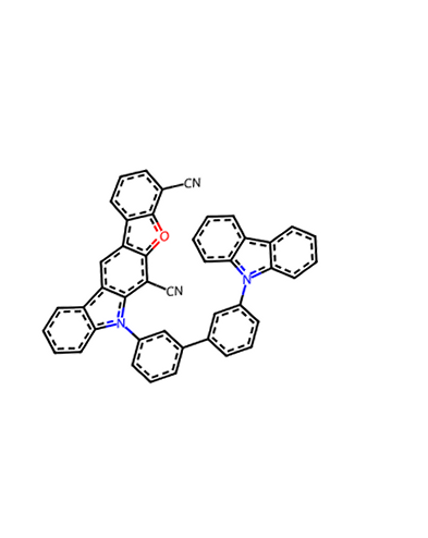 N#Cc1cccc2c1oc1c(C#N)c3c(cc12)c1ccccc1n3-c1cccc(-c2cccc(-n3c4ccccc4c4ccccc43)c2)c1